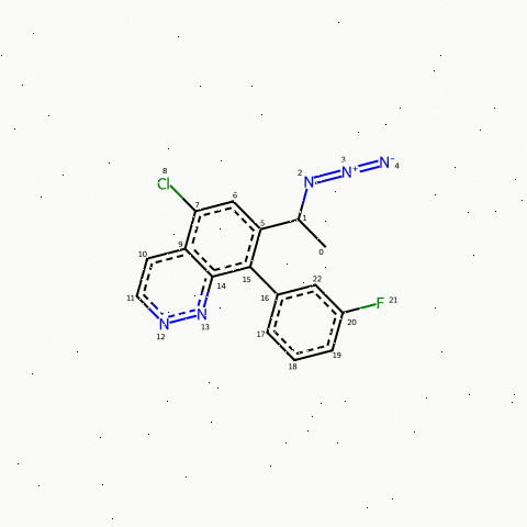 CC(N=[N+]=[N-])c1cc(Cl)c2ccnnc2c1-c1cccc(F)c1